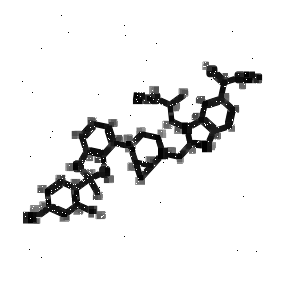 COC(=O)c1ccc2nc(CN3CCN(c4cccc5c4OC(C)(c4ccc(C#N)cc4F)O5)C4CC43)n(CC(C)OC)c2c1